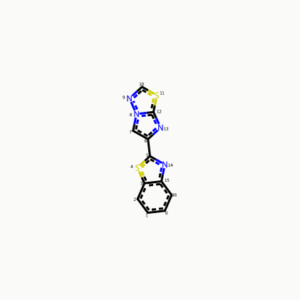 c1ccc2sc(-c3cn4ncsc4n3)nc2c1